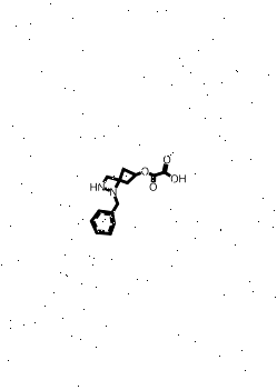 O=C(O)C(=O)OC1CC2(CNN2Cc2ccccc2)C1